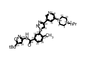 CCCN1CCN(c2cncc(-c3cn(-c4cc(C(=O)Nc5cc(C(C)(C)C)on5)ccc4C)nn3)c2)CC1